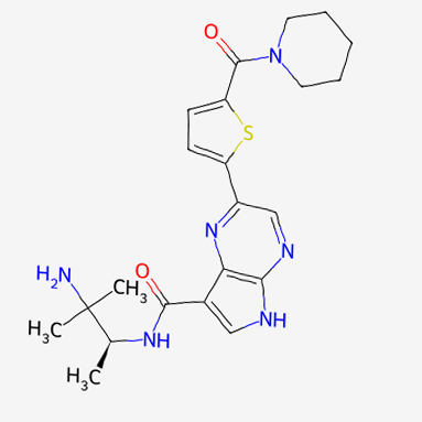 C[C@H](NC(=O)c1c[nH]c2ncc(-c3ccc(C(=O)N4CCCCC4)s3)nc12)C(C)(C)N